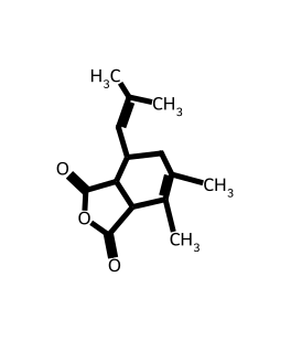 CC(C)=CC1CC(C)=C(C)C2C(=O)OC(=O)C12